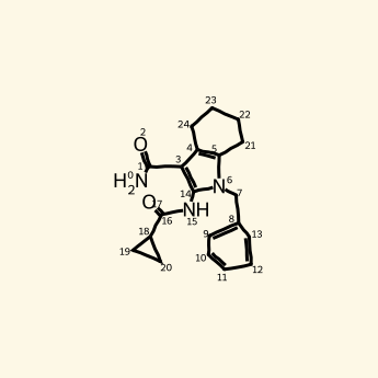 NC(=O)c1c2c(n(Cc3ccccc3)c1NC(=O)C1CC1)CCCC2